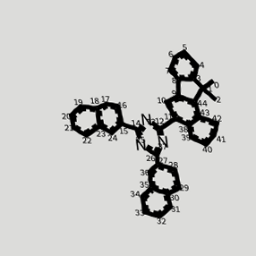 CC1(C)c2ccccc2-c2cc(-c3nc(-c4ccc5ccccc5c4)nc(-c4ccc5ccccc5c4)n3)c3ccccc3c21